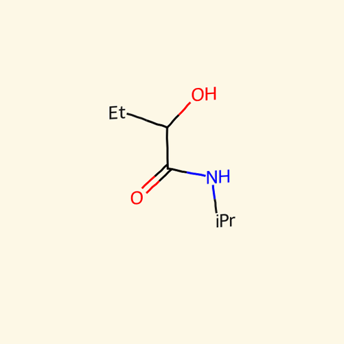 CCC(O)C(=O)NC(C)C